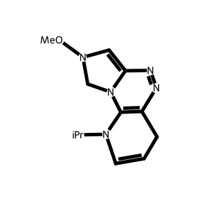 CON1C=C2N=NC3=C(N2C1)N(C(C)C)C=CC3